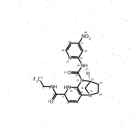 O=C(NCC(F)(F)F)C1C=CC2=C(N1)N(C(=O)Nc1cc([N+](=O)[O-])ccn1)[C@H]1CCN2C1